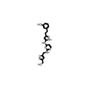 OCc1cc(CNc2nccc(Nc3cc(CCc4cccc(O)c4)n[nH]3)n2)on1